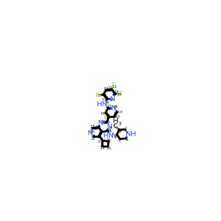 C[C@@H]1CNCC[C@@H]1Nc1nc(-c2ccnc(Nc3nc(F)c(F)cc3F)c2)nc2cncc(C3CCC3)c12